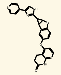 O=C1CCc2c(Oc3ccc4c(c3)C3C(O4)C3c3nc(-c4ccncc4)c[nH]3)ccnc2N1